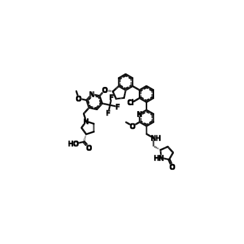 COc1nc(-c2cccc(-c3cccc4c3CC[C@@H]4Oc3nc(OC)c(CN4CC[C@H](C(=O)O)C4)cc3C(F)(F)F)c2Cl)ccc1CNC[C@@H]1CCC(=O)N1